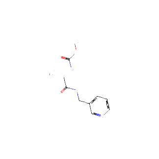 CC[C@H](C)[C@H](NC(=O)OC(C)(C)C)C(=O)NCc1cccnc1